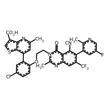 Cc1cc(-c2cc(Cl)ccc2OCCn2c(C)nc3cc(C(F)(F)F)c(-c4cc(F)cnc4C)c(C#N)c3c2=O)c2scc(C(=O)O)c2n1